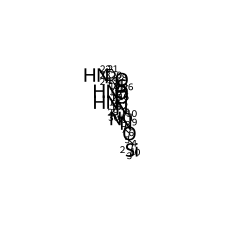 C[Si](C)(C)CCOCn1ccc2nc(NC(=O)NC(C3CCCNC3)S(C)(=O)=O)cnc21